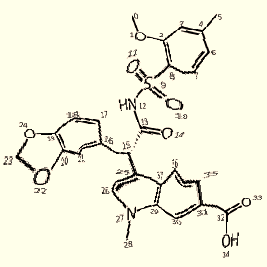 COc1cc(C)ccc1S(=O)(=O)NC(=O)[C@@H](c1ccc2c(c1)OCO2)c1cn(C)c2cc(C(=O)O)ccc12